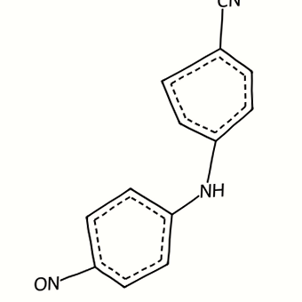 N#Cc1ccc(Nc2ccc(N=O)cc2)cc1